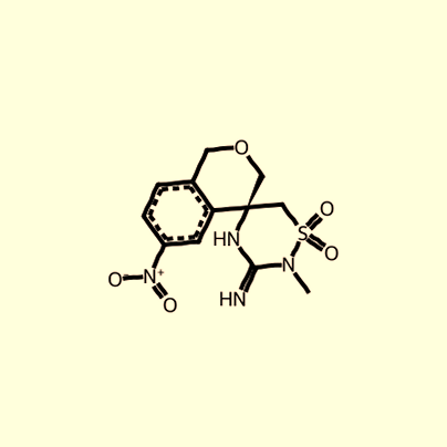 CN1C(=N)N[C@@]2(COCc3ccc([N+](=O)[O-])cc32)CS1(=O)=O